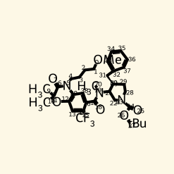 COCCCCN1C(=O)C(C)(C)Oc2cc(C(F)(F)F)c(C(=O)N(C)C3CN(C(=O)OC(C)(C)C)CC[C@@H]3Cc3ccccc3)cc21